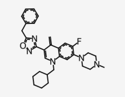 C=C1C(c2noc(Cc3ccccc3)n2)=CN(CC2CCCCC2)c2cc(N3CCN(C)CC3)c(F)cc21